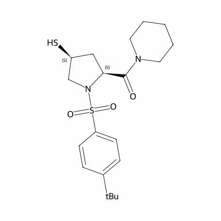 CC(C)(C)c1ccc(S(=O)(=O)N2C[C@@H](S)C[C@H]2C(=O)N2CCCCC2)cc1